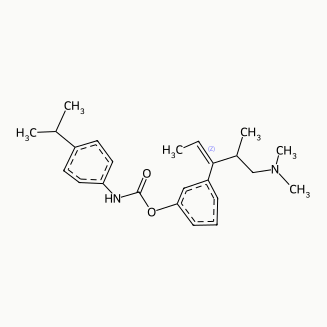 C/C=C(\c1cccc(OC(=O)Nc2ccc(C(C)C)cc2)c1)C(C)CN(C)C